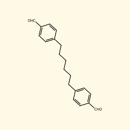 O=Cc1ccc(CCCCCCc2ccc(C=O)cc2)cc1